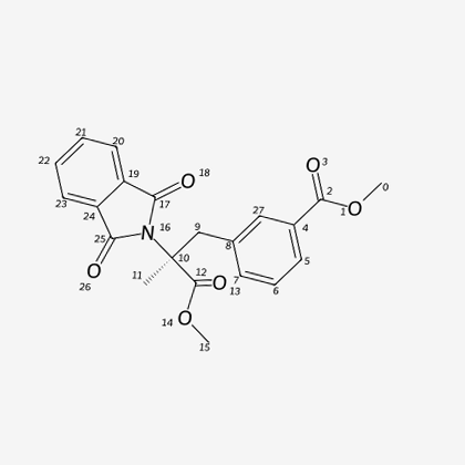 COC(=O)c1cccc(C[C@@](C)(C(=O)OC)N2C(=O)c3ccccc3C2=O)c1